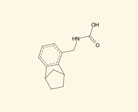 O=C(O)NCc1cccc2c1C1CCC2C1